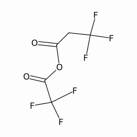 O=C(CC(F)(F)F)OC(=O)C(F)(F)F